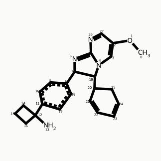 COC1=CN2C(=NC(c3ccc(C4(N)CCC4)cc3)C2C2C=CC=CC2)N=C1